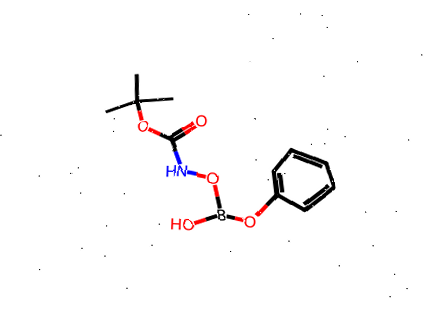 CC(C)(C)OC(=O)NOB(O)Oc1ccccc1